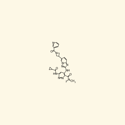 CN(I)C(=O)c1nnc(NC(=O)C2CC2)cc1Nc1nc2ccc(C3CN(C(=O)c4cccnc4)C3)cn2n1